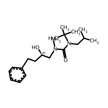 CC(C)CN(C(=O)N(N)C[C@H](O)CCc1ccccc1)C(C)(C)C